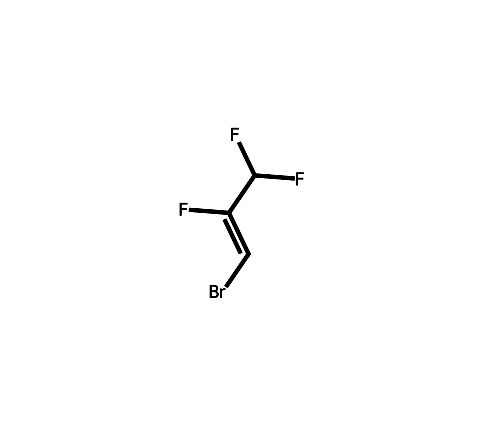 F/C(=C\Br)C(F)F